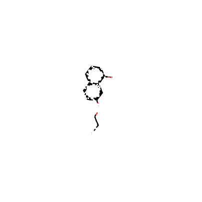 CC(C)CCOc1ccc2cccc(Br)c2c1